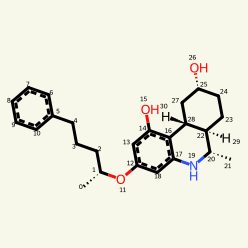 C[C@H](CCCc1ccccc1)Oc1cc(O)c2c(c1)N[C@@H](C)[C@@H]1CC[C@@H](O)C[C@@H]21